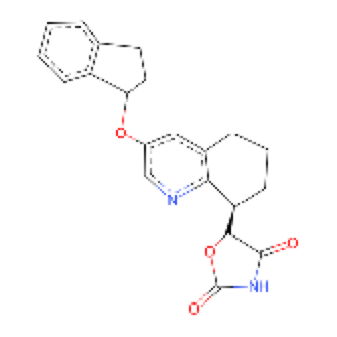 O=C1NC(=O)C([C@@H]2CCCc3cc(OC4CCc5ccccc54)cnc32)O1